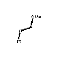 CCO[CH]OC